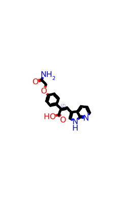 NC(=O)COc1ccc(/C(=C/c2c[nH]c3ncccc23)C(=O)O)cc1